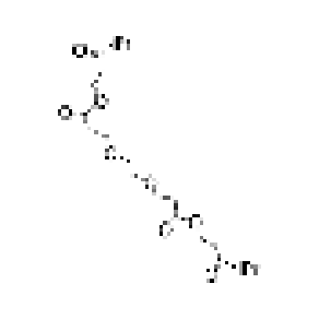 CC(C)C(=O)CCOC(=O)CCOCCOCCC(=O)OCCC(=O)C(C)C